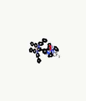 FC(F)(F)c1cccc(-n2c3ccccc3c3cc(-c4cc5c6c(c4)N(c4ccc(-c7ccccc7)cc4)c4ccc(-c7ccccc7)cc4B6c4cc(-c6ccccc6)ccc4N5c4ccc(-c5ccccc5)cc4)ccc32)c1-c1nc(-c2ccccc2)nc(-c2ccccc2)n1